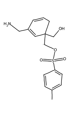 Cc1ccc(S(=O)(=O)O[CH]C2(CO)C=C(CN)C=CC2)cc1